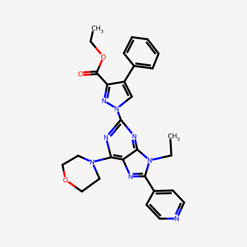 CCOC(=O)c1nn(-c2nc(N3CCOCC3)c3nc(-c4ccncc4)n(CC)c3n2)cc1-c1ccccc1